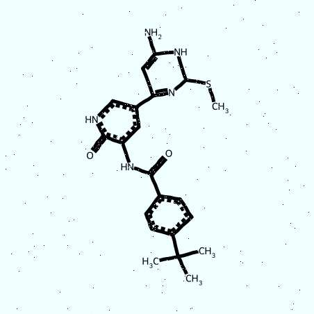 CSC1N=C(c2c[nH]c(=O)c(NC(=O)c3ccc(C(C)(C)C)cc3)c2)C=C(N)N1